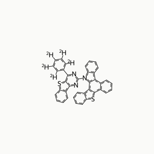 [2H]c1c([2H])c([2H])c(-c2nc(-n3c4ccccc4c4c5ccccc5c5sc6ccccc6c5c43)nc3c2sc2ccccc23)c([2H])c1[2H]